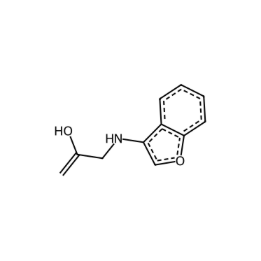 C=C(O)CNc1coc2ccccc12